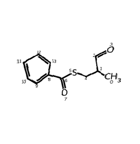 CC(C=O)CSC(=O)c1ccccc1